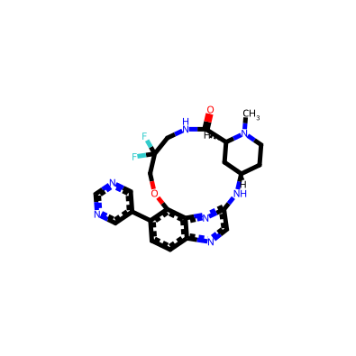 CN1CC[C@H]2C[C@H]1C(=O)NCC(F)(F)COc1c(-c3cncnc3)ccc3ncc(nc13)N2